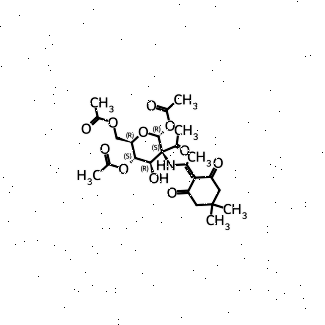 CC(=O)OC[C@H]1O[C@H](OC(C)=O)[C@](NC(C)=C2C(=O)CC(C)(C)CC2=O)(C(C)=O)[C@@H](O)[C@@H]1OC(C)=O